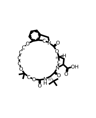 CC1(C)COC(=O)N[C@@H](C(C)(C)C)C(=O)N2C[C@@H](CC2C(=O)O)OC(=O)N2Cc3cccc(c3C2)OCCCCO1